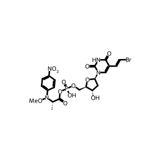 CON(c1ccc([N+](=O)[O-])cc1)[C@@H](C)C(=O)OP(=O)(O)OC[C@H]1O[C@@H](n2cc(/C=C/Br)c(=O)[nH]c2=O)C[C@@H]1O